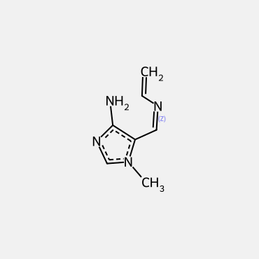 C=C/N=C\c1c(N)ncn1C